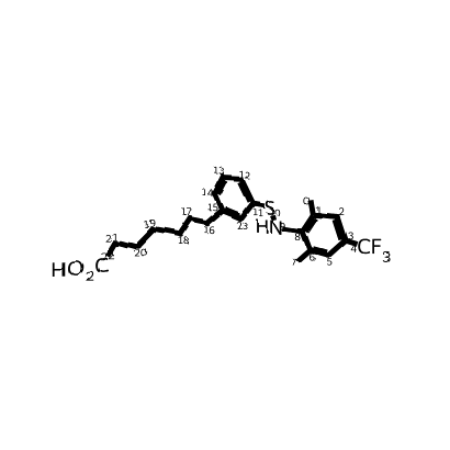 Cc1cc(C(F)(F)F)cc(C)c1NSc1cccc(CCCCCCC(=O)O)c1